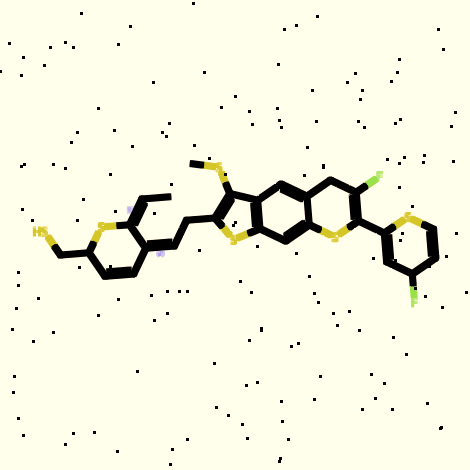 C/C=C1/SC(CS)C=C/C1=C/Cc1sc2cc3c(cc2c1SC)CC(F)=C(C1=CC(F)C=CS1)S3